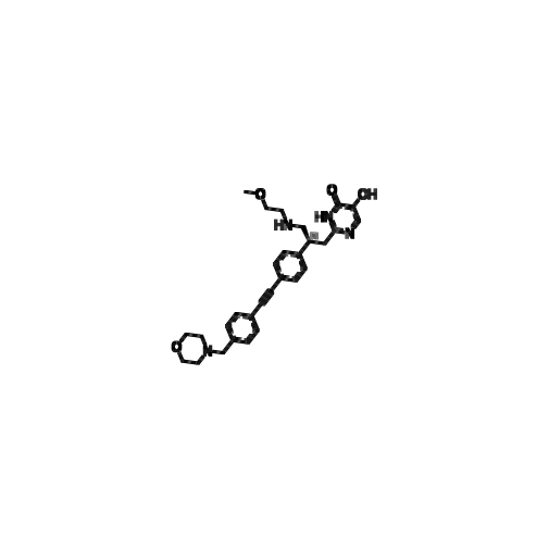 COCCNC[C@@H](Cc1ncc(O)c(=O)[nH]1)c1ccc(C#Cc2ccc(CN3CCOCC3)cc2)cc1